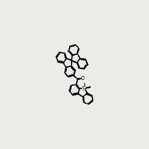 C[Si]1(C)c2ccccc2-c2cccc(C(=O)c3ccc4c(c3)C3(c5ccccc5-c5ccccc53)c3ccccc3-4)c21